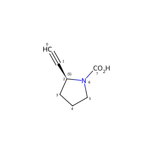 C#C[C@@H]1CCCN1C(=O)O